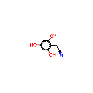 N#CCc1c(O)cc(O)cc1O